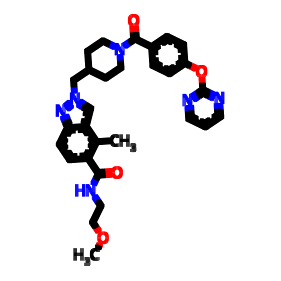 COCCNC(=O)c1ccc2nn(CC3CCN(C(=O)c4ccc(Oc5ncccn5)cc4)CC3)cc2c1C